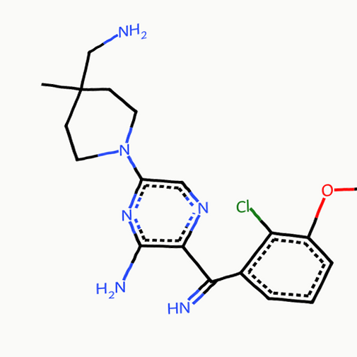 COc1cccc(C(=N)c2ncc(N3CCC(C)(CN)CC3)nc2N)c1Cl